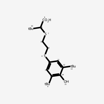 CC(C)(C)c1cc(SCCSC(C(=O)O)C(C)(C)C)cc(C(C)(C)C)c1O